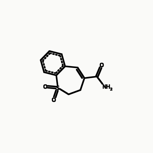 NC(=O)C1=Cc2ccccc2S(=O)(=O)CC1